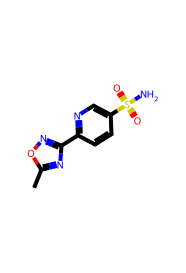 Cc1nc(-c2ccc(S(N)(=O)=O)cn2)no1